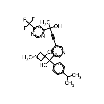 CC(C)c1ccc(C(O)(c2cncc(C#CC(C)(O)c3cc(C(F)(F)F)ncn3)c2)C2(C)CN(C)C2)cc1